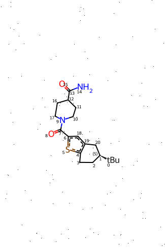 CC(C)(C)[C@H]1CCc2sc(C(=O)N3CCC(C(N)=O)CC3)cc2C1